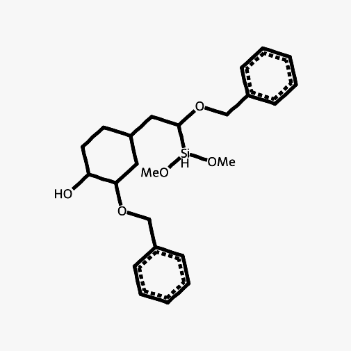 CO[SiH](OC)C(CC1CCC(O)C(OCc2ccccc2)C1)OCc1ccccc1